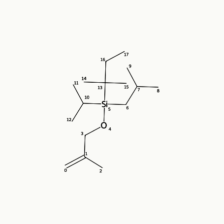 C=C(C)CO[Si](CC(C)C)(C(C)C)C(C)(C)CC